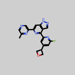 Cc1cncc(-c2cc3[nH]ncc3c(-c3cc(C4COC4)cc(F)n3)n2)n1